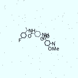 COc1ccc(S(=O)(=O)N[C@H]2CC[C@H](C(=O)N[C@H](C)c3ccc(F)cc3)CC2)cc1N(C)C